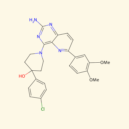 COc1ccc(-c2ccc3nc(N)nc(N4CCC(O)(c5ccc(Cl)cc5)CC4)c3n2)cc1OC